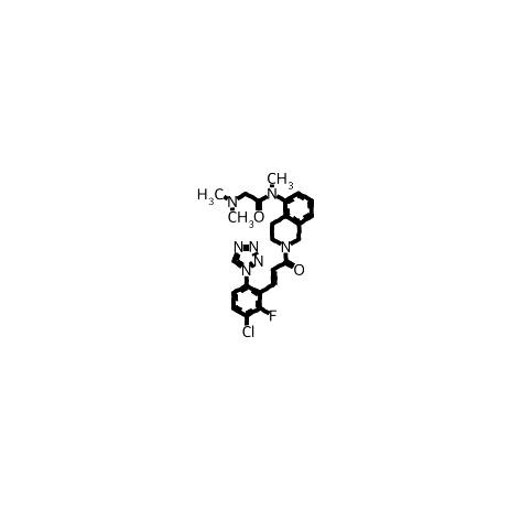 CN(C)CC(=O)N(C)c1cccc2c1CCN(C(=O)C=Cc1c(-n3cnnn3)ccc(Cl)c1F)C2